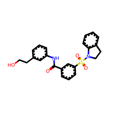 O=C(Nc1cccc(CCO)c1)c1cccc(S(=O)(=O)N2CCc3ccccc32)c1